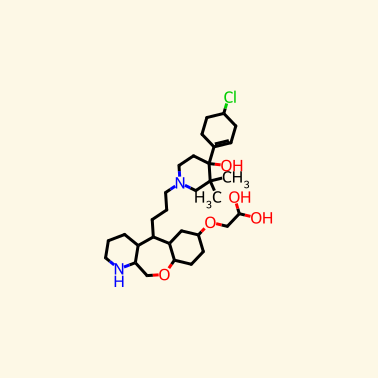 CC1(C)CN(CCCC2C3CCCNC3COC3CCC(OCC(O)O)CC32)CCC1(O)C1=CCC(Cl)CC1